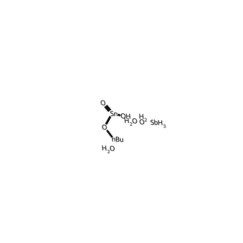 CCCC[O][Sn](=[O])[OH].O.O.O.[SbH3]